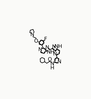 O=C(CC1CCCCC1)Nc1cncc(-c2ccc3[nH]nc(-c4nc5c(-c6cc(F)cc(OCCN7CCCC7)c6)nccc5[nH]4)c3n2)c1